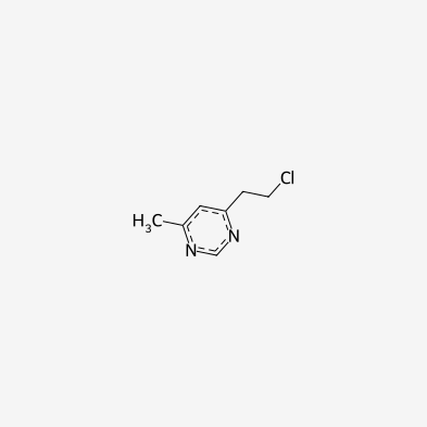 Cc1cc(CCCl)ncn1